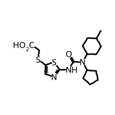 CC1CCC(N(C(=O)Nc2ncc(SCC(=O)O)s2)C2CCCC2)CC1